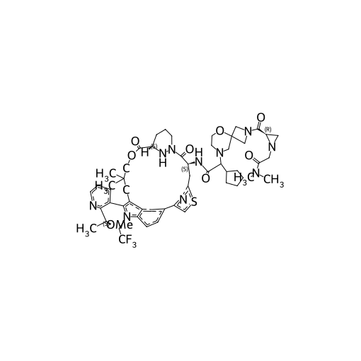 CO[C@@H](C)c1ncccc1-c1c2c3cc(ccc3n1CC(F)(F)F)-c1csc(n1)C[C@H](NC(=O)C(C1CCCC1)N1CCOC3(CN(C(=O)[C@H]4CN4CC(=O)N(C)C)C3)C1)C(=O)N1CCC[C@H](N1)C(=O)OCC(C)(C)C2